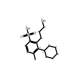 Cc1ccc(S(=O)(=O)O)c(CCCO)c1C1CCCCC1